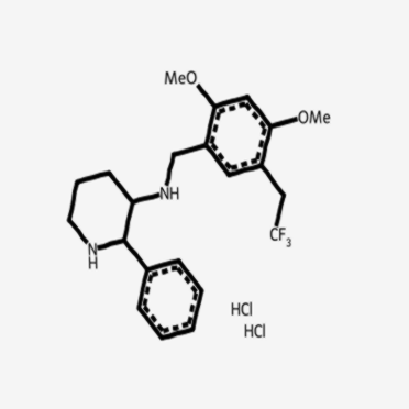 COc1cc(OC)c(CC(F)(F)F)cc1CNC1CCCNC1c1ccccc1.Cl.Cl